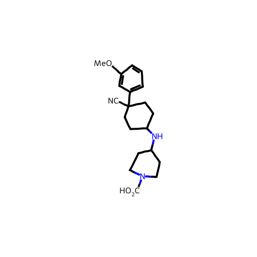 COc1cccc(C2(C#N)CCC(NC3CCN(C(=O)O)CC3)CC2)c1